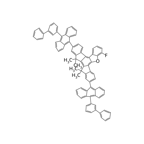 CC1(C)c2cc(-c3c4ccccc4c(-c4cccc(-c5ccccc5)c4)c4ccccc34)ccc2-c2c1c1c(c3c2oc2c(F)cccc23)-c2ccc(-c3c4ccccc4c(-c4cccc(-c5ccccc5)c4)c4ccccc34)cc2C1(C)C